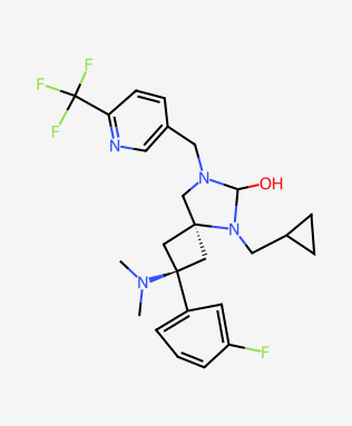 CN(C)[C@]1(c2cccc(F)c2)C[C@@]2(CN(Cc3ccc(C(F)(F)F)nc3)C(O)N2CC2CC2)C1